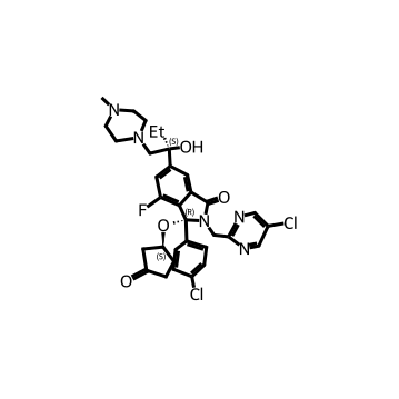 CC[C@@](O)(CN1CCN(C)CC1)c1cc(F)c2c(c1)C(=O)N(Cc1ncc(Cl)cn1)[C@@]2(O[C@H]1CCC(=O)C1)c1ccc(Cl)cc1